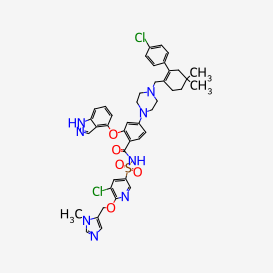 Cn1cncc1COc1ncc(S(=O)(=O)NC(=O)c2ccc(N3CCN(CC4=C(c5ccc(Cl)cc5)CC(C)(C)CC4)CC3)cc2Oc2cccc3[nH]ncc23)cc1Cl